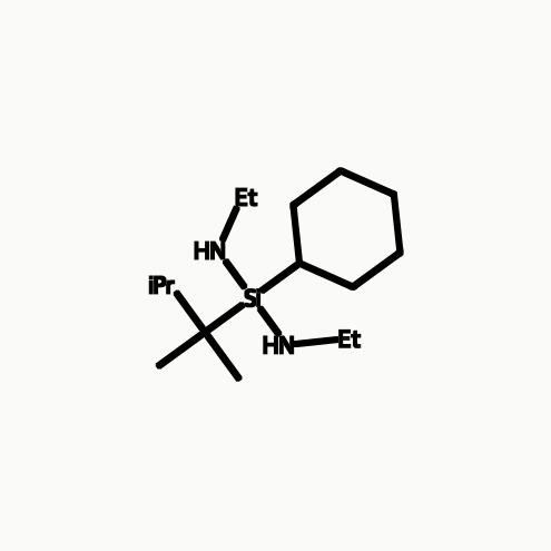 CCN[Si](NCC)(C1CCCCC1)C(C)(C)C(C)C